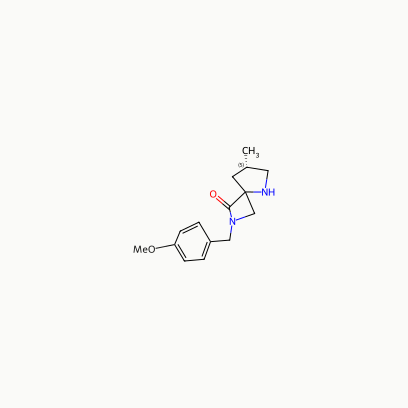 COc1ccc(CN2CC3(C[C@H](C)CN3)C2=O)cc1